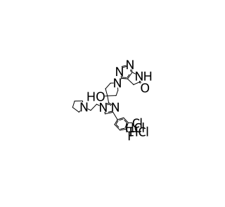 Cl.Cl.O=C1Cc2c(ncnc2N2CCC(O)(c3nc(-c4ccc(F)c(Cl)c4)cn3CCN3CCCC3)CC2)N1